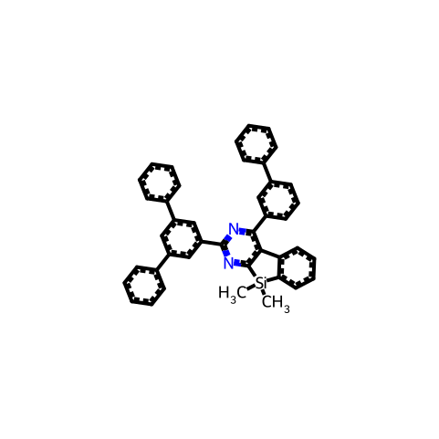 C[Si]1(C)c2ccccc2-c2c(-c3cccc(-c4ccccc4)c3)nc(-c3cc(-c4ccccc4)cc(-c4ccccc4)c3)nc21